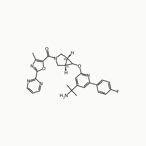 Cc1nc(-c2ncccn2)oc1C(=O)N1C[C@@H]2C(Oc3cc(C(C)(C)N)cc(-c4ccc(F)cc4)n3)[C@@H]2C1